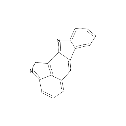 c1ccc2c(c1)N=c1c-2cc2cccc3c2c1CN=3